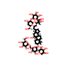 C[C@H](CC[C@@H](O[C@@H]1O[C@H](CO)C[C@H](O)[C@H]1O[C@@H]1O[C@H](CO)[C@@H](O)[C@H](O)[C@H]1O)C(C)(C)O)C1CC[C@@]2(C)C3CC=C4C(CC[C@H](O[C@@H]5O[C@H](CO[C@@H]6O[C@H](CO)[C@@H](O)[C@H](O)[C@H]6O)[C@@H](O)[C@H](O)[C@H]5C5OC[C@H](O)[C@H](O)[C@@H]5O)C4(C)C)[C@]3(C)[C@H](O)C[C@]12C